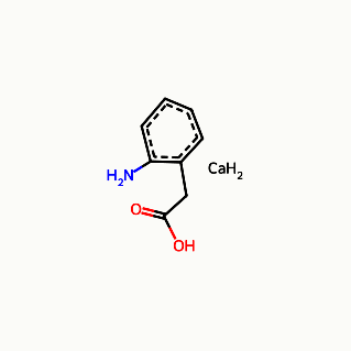 Nc1ccccc1CC(=O)O.[CaH2]